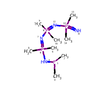 CP(C)NP(C)(C)=NP(C)(C)=NP(C)(C)=N